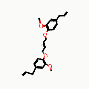 C=CCc1ccc(OC/C=C/COc2ccc(CC=C)cc2OC)c(OC)c1